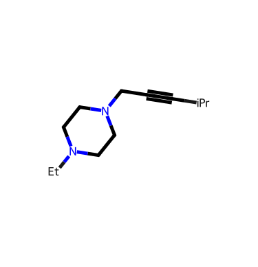 CCN1CCN(CC#CC(C)C)CC1